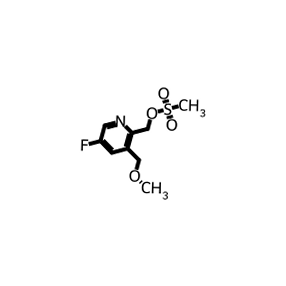 COCc1cc(F)cnc1COS(C)(=O)=O